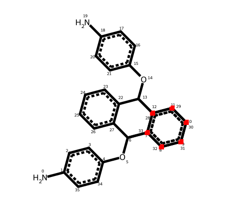 Nc1ccc(OC23c4ccccc4C(Oc4ccc(N)cc4)(c4ccccc42)c2ccccc23)cc1